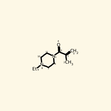 C=C(C)C(=O)N1CCN(CC)CC1